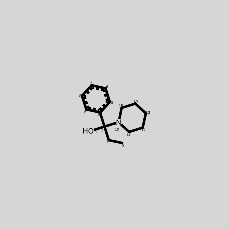 CCC(O)(c1ccccc1)N1CCCCC1